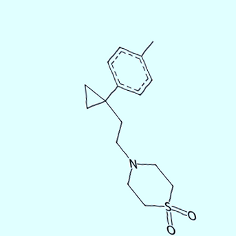 Cc1ccc(C2(CCN3CCS(=O)(=O)CC3)CC2)cc1